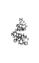 Cc1cccnc1C(=O)NCc1cncc(N2C(=O)c3ccc(Cl)cc3C2(C)C)c1